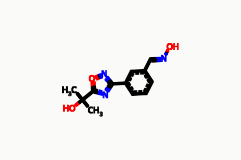 CC(C)(O)c1nc(-c2cccc(C=NO)c2)no1